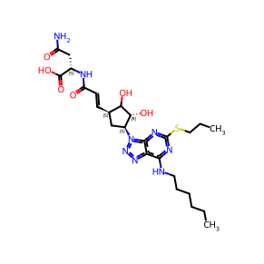 CCCCCCNc1nc(SCCC)nc2c1nnn2[C@H]1C[C@@H](C=CC(=O)N[C@@H](CC(N)=O)C(=O)O)C(O)[C@@H]1O